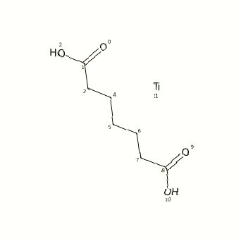 O=C(O)CCCCCC(=O)O.[Ti]